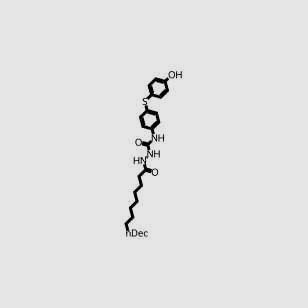 CCCCCCCCCCCCCCCCCC(=O)NNC(=O)Nc1ccc(Sc2ccc(O)cc2)cc1